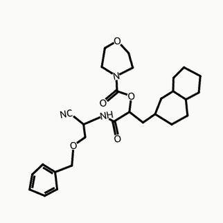 N#CC(COCc1ccccc1)NC(=O)C(CC1CCC2CCCCC2C1)OC(=O)N1CCOCC1